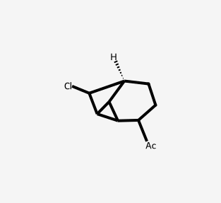 CC(=O)C1CC[C@@H]2C(Cl)C3C1C32